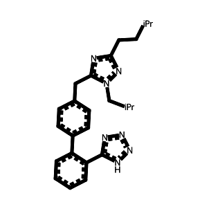 CC(C)CCc1nc(Cc2ccc(-c3ccccc3-c3nnn[nH]3)cc2)n(CC(C)C)n1